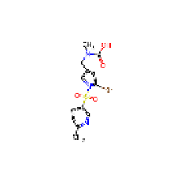 Cc1ccc(S(=O)(=O)n2cc(CN(C)C(=O)O)cc2Br)cn1